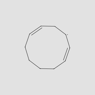 [CH]1/C=C\CCCC/C=C\C1